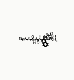 CCOCCOCC(=O)NCC(=O)Nc1nc2ccccc2c2c1nc(COCC)n2CC(C)(C)O